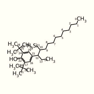 CCCCCCCCCCC([SiH3])C(CC)c1cc(C(C)(C)C)c(O)c(C(C)(C)C)c1